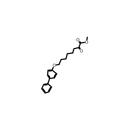 COC(=O)C(=O)CCCCCCOc1ccc(-c2ccccc2)cc1